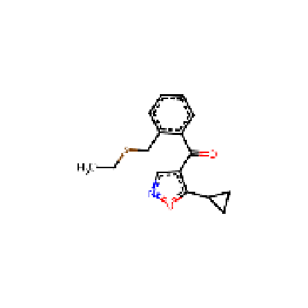 CCSCc1ccccc1C(=O)c1cnoc1C1CC1